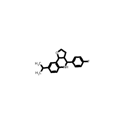 CC(C)c1ccc2c(c1)C1OCCC1C(c1ccc(F)cc1)N2